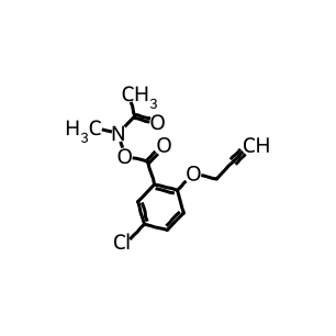 C#CCOc1ccc(Cl)cc1C(=O)ON(C)C(C)=O